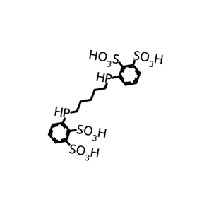 O=S(=O)(O)c1cccc(PCCCCCPc2cccc(S(=O)(=O)O)c2S(=O)(=O)O)c1S(=O)(=O)O